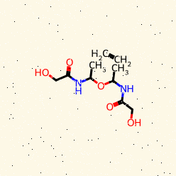 C=C.CC(NC(=O)CO)OC(C)NC(=O)CO